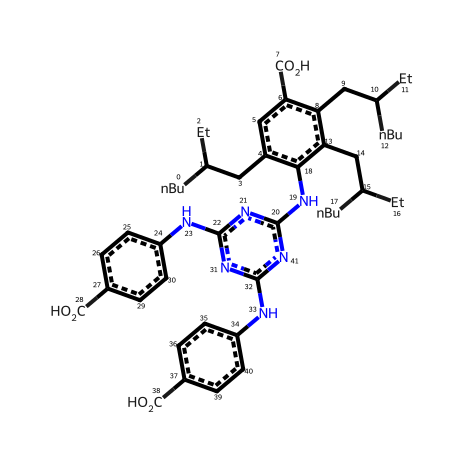 CCCCC(CC)Cc1cc(C(=O)O)c(CC(CC)CCCC)c(CC(CC)CCCC)c1Nc1nc(Nc2ccc(C(=O)O)cc2)nc(Nc2ccc(C(=O)O)cc2)n1